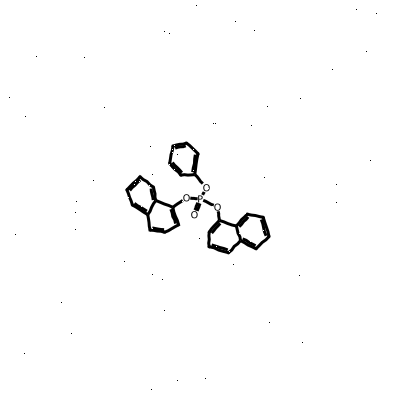 O=P(Oc1ccccc1)(Oc1cccc2ccccc12)Oc1cccc2ccccc12